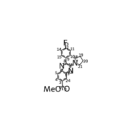 COC(=O)c1ccc2nc(-c3ccc(F)cc3)c(N3CCCC3)nc2c1